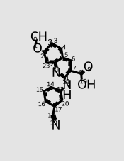 COc1ccc2cc(C(=O)O)c(Nc3cccc(C#N)c3)nc2c1